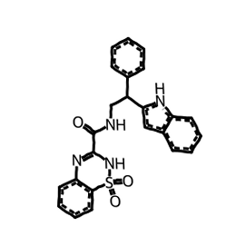 O=C(NCC(c1ccccc1)c1cc2ccccc2[nH]1)C1=Nc2ccccc2S(=O)(=O)N1